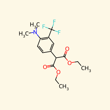 CCOC(=O)C(C(=O)OCC)c1ccc(N(C)C)c(C(F)(F)F)c1